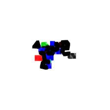 N#CCC[C@@H](Nc1c(C#N)cnc2c(Cl)cc(NC(O)(C3=CN(C4CC4)NN3)c3cccnc3F)cc12)c1ccccc1